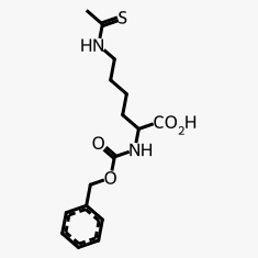 CC(=S)NCCCCC(NC(=O)OCc1ccccc1)C(=O)O